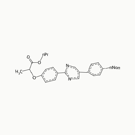 CCCCCCCCCc1ccc(-c2cnc(-c3ccc(OC(C)C(=O)OCCC)cc3)nc2)cc1